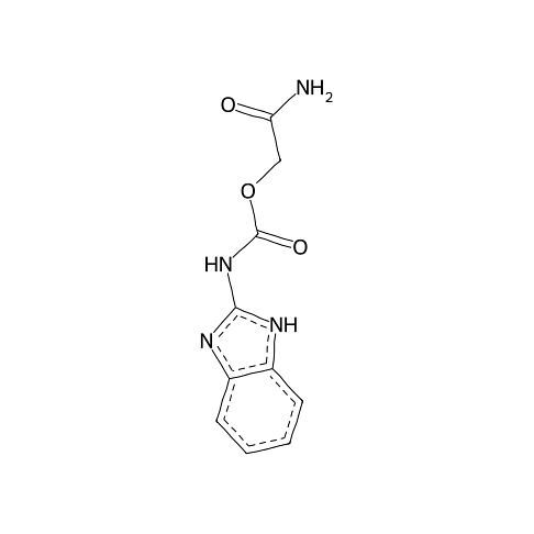 NC(=O)COC(=O)Nc1nc2ccccc2[nH]1